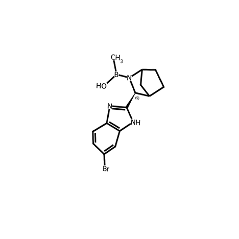 CB(O)N1C2CCC(C2)[C@H]1c1nc2ccc(Br)cc2[nH]1